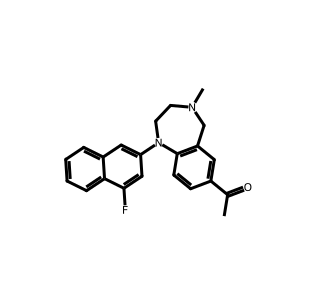 CC(=O)c1ccc2c(c1)CN(C)CCN2c1cc(F)c2ccccc2c1